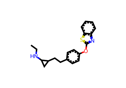 CCNC1CC1CCc1ccc(Oc2nc3ccccc3s2)cc1